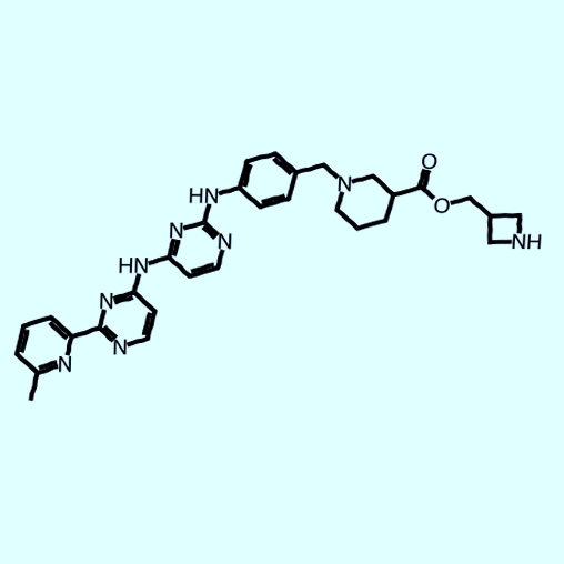 Cc1cccc(-c2nccc(Nc3ccnc(Nc4ccc(CN5CCCC(C(=O)OCC6CNC6)C5)cc4)n3)n2)n1